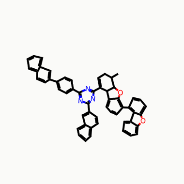 CC1CC=C(c2nc(-c3ccc(-c4ccc5ccccc5c4)cc3)nc(-c3ccc4ccccc4c3)n2)C2c3cccc(-c4cccc5oc6ccccc6c45)c3OC12